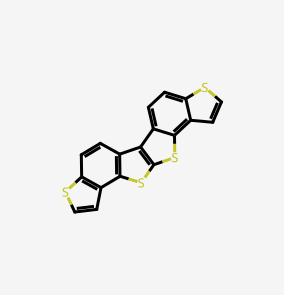 c1cc2c(ccc3c2sc2sc4c5ccsc5ccc4c23)s1